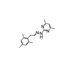 Cc1cc(C)c(CC=NNc2nc(C)cc(C)n2)c(C)c1